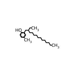 CCCCCCCCCCCCC(CC)Cc1cc(C)ccc1O